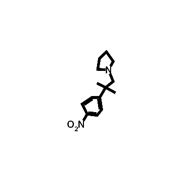 CC(C)(CN1CCCC1)c1ccc([N+](=O)[O-])cc1